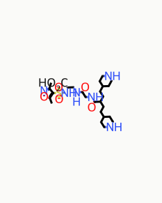 Cc1noc(C)c1S(=O)(=O)NC(CNC(=O)CNC(=O)C(CCC1CCNCC1)CCC1CCNCC1)C(=O)O